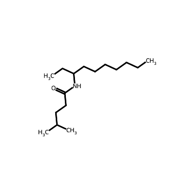 CCCCCCCC(CC)NC(=O)CCC(C)C